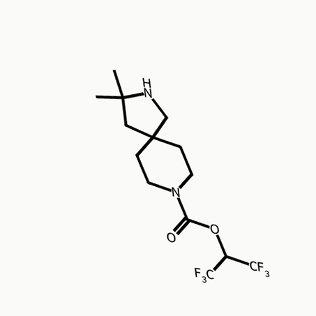 CC1(C)CC2(CCN(C(=O)OC(C(F)(F)F)C(F)(F)F)CC2)CN1